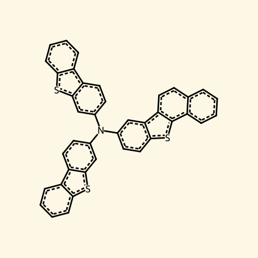 c1ccc2c(c1)ccc1c3cc(N(c4ccc5c(c4)sc4ccccc45)c4ccc5c(c4)sc4ccccc45)ccc3sc21